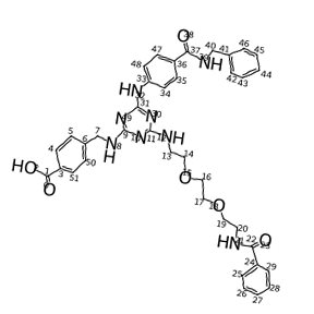 O=C(O)c1ccc(CNc2nc(NCCOCCOCCNC(=O)c3ccccc3)nc(Nc3ccc(C(=O)NCc4ccccc4)cc3)n2)cc1